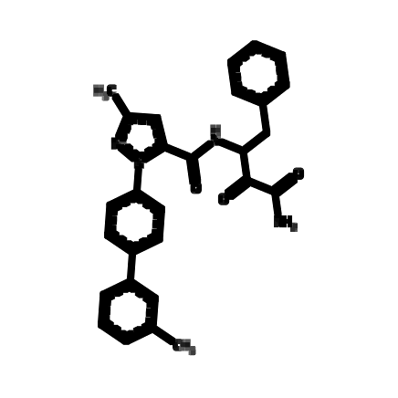 Cc1cccc(-c2ccc(-n3nc(C)cc3C(=O)NC(Cc3ccccc3)C(=O)C(N)=O)cc2)c1